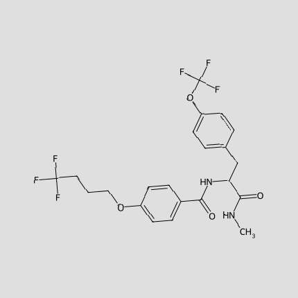 CNC(=O)C(Cc1ccc(OC(F)(F)F)cc1)NC(=O)c1ccc(OCCCC(F)(F)F)cc1